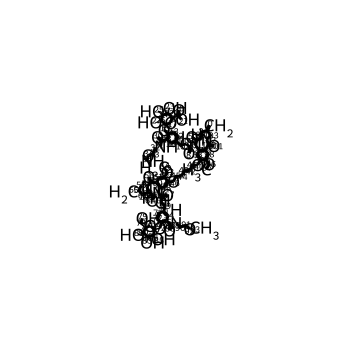 C=C1C[C@H]2C(O)N(C(=O)OCc3ccc(O[C@@H]4O[C@H](C(=O)O)[C@H](O)[C@H](O)[C@H]4O)c(C(=O)NCCON)c3)c3cc(OCCCCCOc4cc5c(cc4OC)C(=O)N4CC(=C)C[C@H]4C(O)N5C(=O)OCc4ccc(O[C@@H]5O[C@H](CO)[C@H](O)[C@H](O)[C@H]5O)c(C(=O)NCCOC)c4)c(OC)cc3C(=O)N2C1